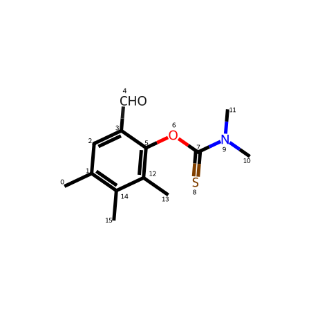 Cc1cc(C=O)c(OC(=S)N(C)C)c(C)c1C